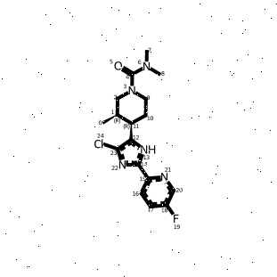 C[C@H]1CN(C(=O)N(C)C)CC[C@H]1c1[nH]c(-c2ccc(F)cn2)nc1Cl